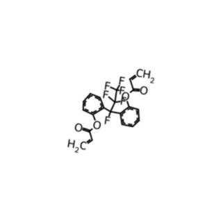 C=CC(=O)Oc1ccccc1C(F)(c1ccccc1OC(=O)C=C)C(F)(F)C(F)(F)F